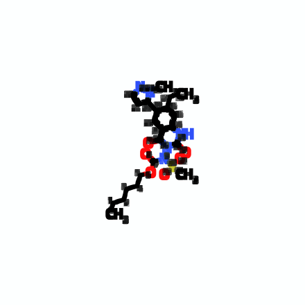 CCCCCCOC(=O)N(n1c(=O)[nH]c2cc(CC)c(-c3ccnn3C)cc2c1=O)S(C)(=O)=O